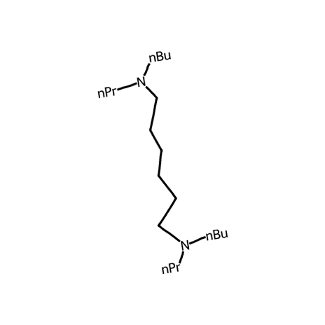 CCCCN(CCC)CCCCCCN(CCC)CCCC